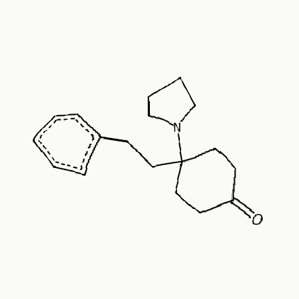 O=C1CCC(CCc2ccccc2)(N2CCCC2)CC1